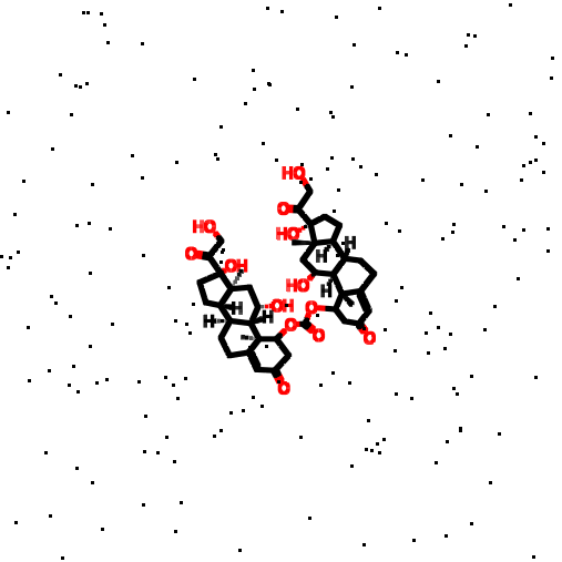 C[C@]12C[C@H](O)[C@H]3[C@@H](CCC4=CC(=O)CC(OC(=O)OC5CC(=O)C=C6CC[C@@H]7[C@H]([C@@H](O)C[C@@]8(C)[C@H]7CC[C@]8(O)C(=O)CO)[C@]65C)[C@@]43C)[C@@H]1CC[C@]2(O)C(=O)CO